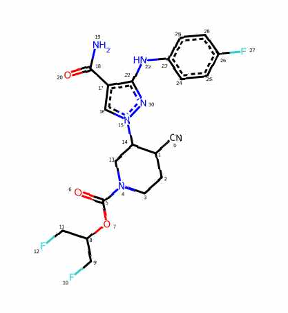 N#CC1CCN(C(=O)OC(CF)CF)CC1n1cc(C(N)=O)c(Nc2ccc(F)cc2)n1